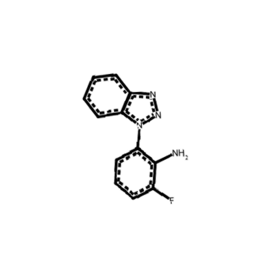 Nc1c(F)cccc1-n1nnc2ccccc21